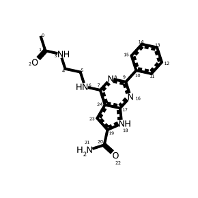 CC(=O)NCCNc1nc(-c2ccccc2)nc2[nH]c(C(N)=O)cc12